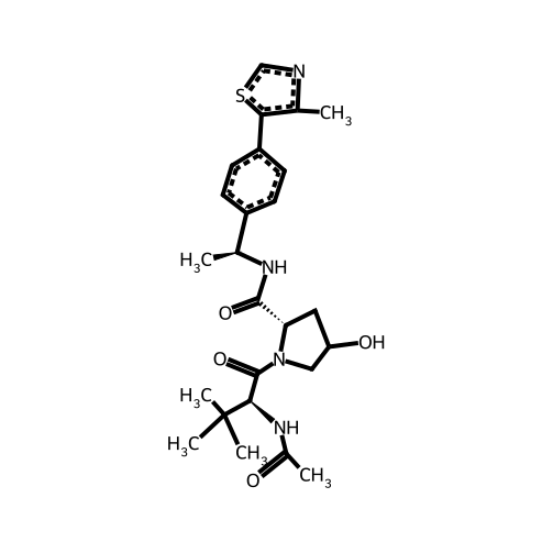 CC(=O)N[C@H](C(=O)N1CC(O)C[C@H]1C(=O)N[C@@H](C)c1ccc(-c2scnc2C)cc1)C(C)(C)C